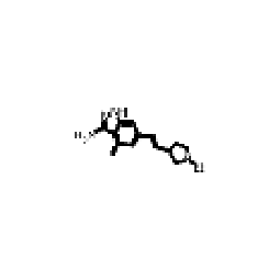 CCN1CCC(CCc2cc(C)c3c(N)n[nH]c3c2)C1